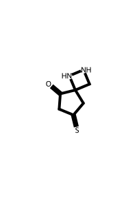 O=C1CC(=S)CC12CNN2